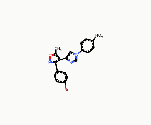 Cc1onc(-c2ccc(Br)cc2)c1-c1cn(-c2ccc([N+](=O)[O-])cc2)cn1